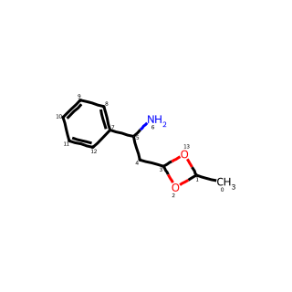 CC1OC(CC(N)c2ccccc2)O1